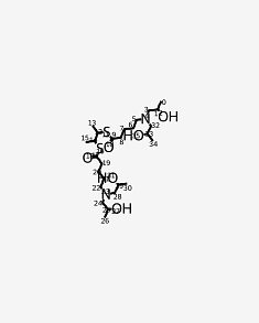 CC(O)CN(CCCCC(=O)SC(C)C(C)SC(=O)CCCCN(CC(C)O)CC(C)O)CC(C)O